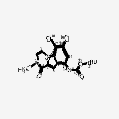 CN1CCn2c(cc3c(NC(=O)OC(C)(C)C)cc(Cl)c(Cl)c32)C1=O